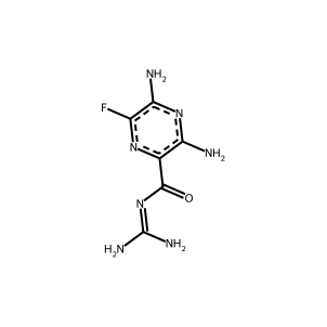 NC(N)=NC(=O)c1nc(F)c(N)nc1N